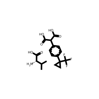 CC(C)[C@H](N)C(=O)O.O=C(O)C(C(=O)O)c1ccc(C2(C(F)(F)F)CC2)cc1